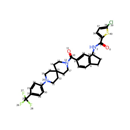 O=C(NC1CCc2ccc(C(=O)N3CCC4(CC3)CCN(c3ccc(C(F)(F)F)cc3)CC4)cc21)c1ccc(Cl)s1